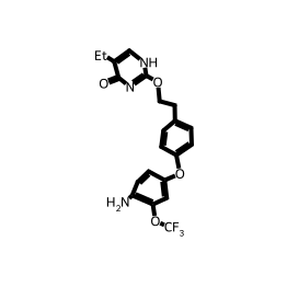 CCc1c[nH]c(OCCc2ccc(Oc3ccc(N)c(OC(F)(F)F)c3)cc2)nc1=O